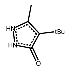 Cc1[nH][nH]c(=O)c1C(C)(C)C